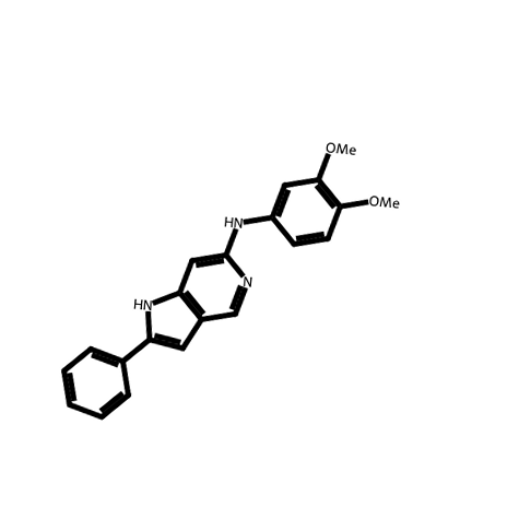 COc1ccc(Nc2cc3[nH]c(-c4ccccc4)cc3cn2)cc1OC